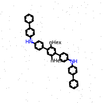 CCCCCCc1cc(-c2ccc(Nc3ccc(-c4ccccc4)cc3)cc2)c(CCCCCC)cc1-c1ccc(Nc2ccc(-c3ccccc3)cc2)cc1